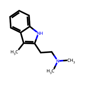 Cc1c(CCN(C)C)[nH]c2ccccc12